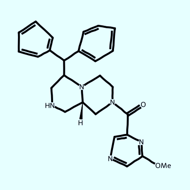 COc1cncc(C(=O)N2CCN3C(C(c4ccccc4)c4ccccc4)CNC[C@H]3C2)n1